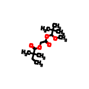 CCC(C)(C)C(=O)OCC(=O)OC(OC)C(C)(C)C